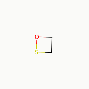 [CH]1CSO1